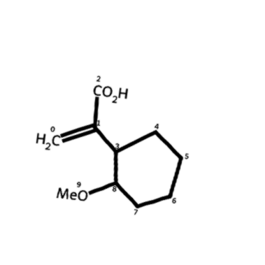 C=C(C(=O)O)C1CCCCC1OC